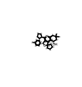 CC1(C)Cc2nc(C3CCCC3)c3c(c2[C@@H](O)C1)C1(CCCC1)O[C@@H]3c1ccc(F)cc1